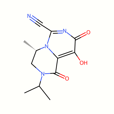 CC(C)N1C[C@H](C)n2c(C#N)nc(=O)c(O)c2C1=O